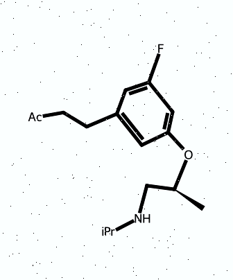 CC(=O)CCc1cc(F)cc(O[C@@H](C)CNC(C)C)c1